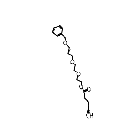 C#CCCC(=O)OCCOCCOCCCOCc1ccccc1